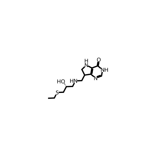 CCSC[C@H](O)CNCC1CNc2c1nc[nH]c2=O